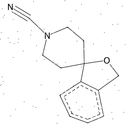 N#CN1CCC2(CC1)OCc1ccccc12